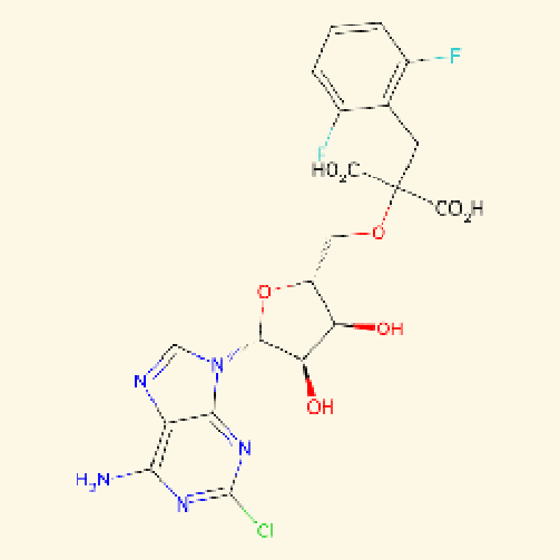 Nc1nc(Cl)nc2c1ncn2[C@@H]1O[C@H](COC(Cc2c(F)cccc2F)(C(=O)O)C(=O)O)[C@@H](O)[C@H]1O